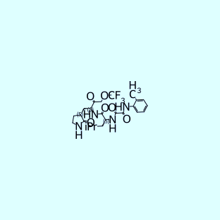 Cc1ccccc1NC(=O)C(=O)N[C@@H](CC(C)C)C(=O)N[C@@H](C[C@@H]1CCNC1=O)C(=O)COC(F)(F)F